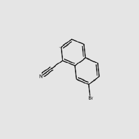 N#Cc1[c]ccc2ccc(Br)cc12